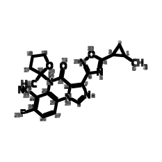 CC1CC1c1nc(-c2ncn3c2c(=O)n(C2(C)CCCO2)c2c(C#N)c(F)ccc23)no1